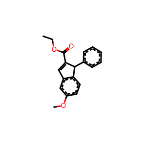 CCOC(=O)C1=Cc2cc(OC)ccc2C1c1ccccc1